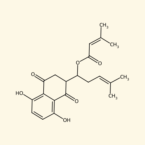 CC(C)=CCC(OC(=O)C=C(C)C)C1CC(=O)c2c(O)ccc(O)c2C1=O